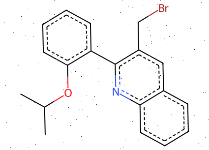 CC(C)Oc1ccccc1-c1nc2ccccc2cc1CBr